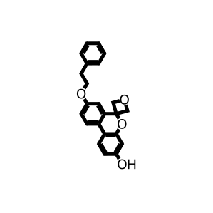 Oc1ccc2c(c1)OC1(COC1)c1cc(OCCc3ccccc3)ccc1-2